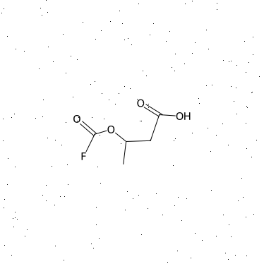 CC(CC(=O)O)OC(=O)F